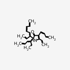 C=C/C=C\C=C(/C=C)C1(/C(C=C)=C/C=C)NC(C=C)=C(/C=C\C=C)C1=O